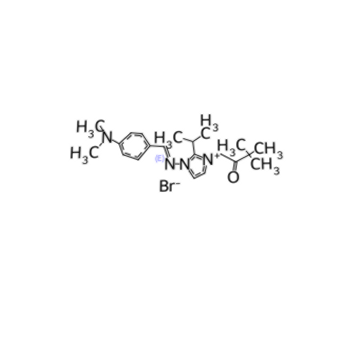 CC(C)c1n(/N=C/c2ccc(N(C)C)cc2)cc[n+]1CC(=O)C(C)(C)C.[Br-]